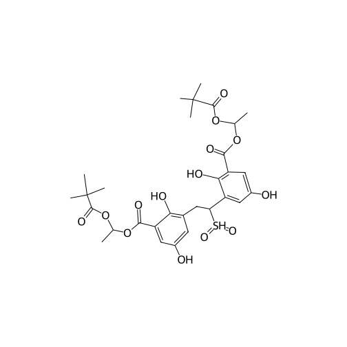 CC(OC(=O)c1cc(O)cc(CC(c2cc(O)cc(C(=O)OC(C)OC(=O)C(C)(C)C)c2O)[SH](=O)=O)c1O)OC(=O)C(C)(C)C